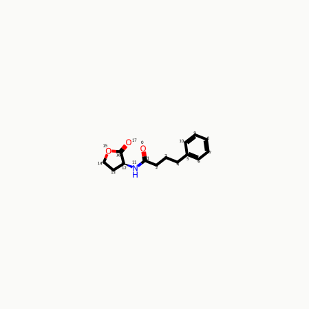 O=C(CCCc1ccccc1)N[C@H]1CCOC1=O